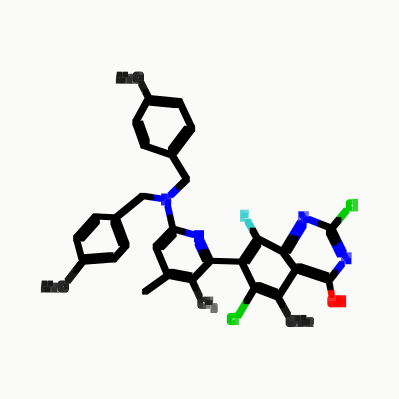 COc1ccc(CN(Cc2ccc(OC)cc2)c2cc(C)c(C(F)(F)F)c(-c3c(Cl)c(OC)c4c(O)nc(Cl)nc4c3F)n2)cc1